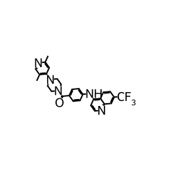 Cc1cc(N2CCN(C(=O)c3ccc(Nc4ccnc5cc(C(F)(F)F)ccc45)cc3)CC2)c(C)cn1